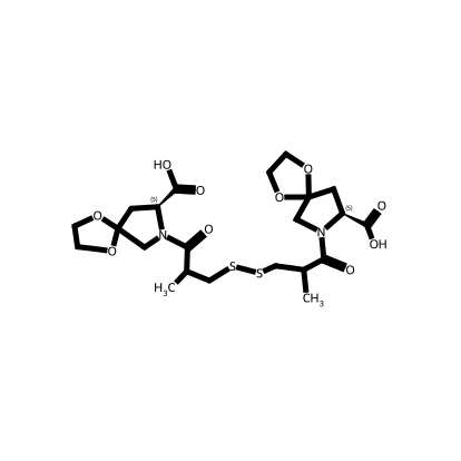 CC(CSSCC(C)C(=O)N1CC2(C[C@H]1C(=O)O)OCCO2)C(=O)N1CC2(C[C@H]1C(=O)O)OCCO2